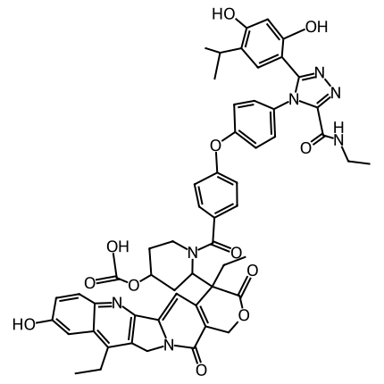 CCNC(=O)c1nnc(-c2cc(C(C)C)c(O)cc2O)n1-c1ccc(Oc2ccc(C(=O)N3CCC(OC(=O)O)CC3C3(CC)C(=O)OCc4c3cc3n(c4=O)Cc4c-3nc3ccc(O)cc3c4CC)cc2)cc1